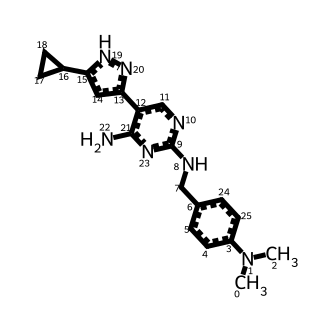 CN(C)c1ccc(CNc2ncc(-c3cc(C4CC4)[nH]n3)c(N)n2)cc1